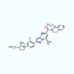 CC1C(C(=O)O)CCN1c1ccc(-c2cc3nc(C(=O)N4CCc5ccccc5[C@H]4C)cc(C4CC4)n3n2)c(F)c1